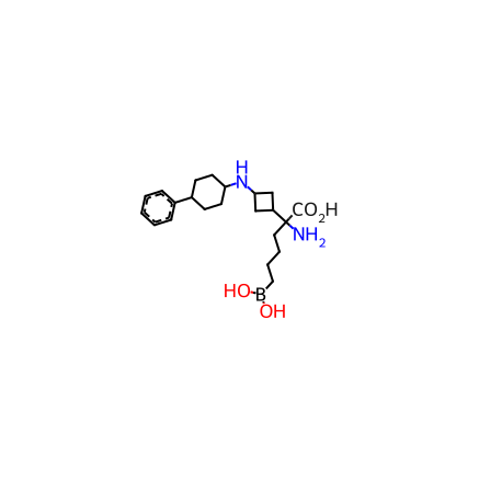 NC(CCCCB(O)O)(C(=O)O)C1CC(NC2CCC(c3ccccc3)CC2)C1